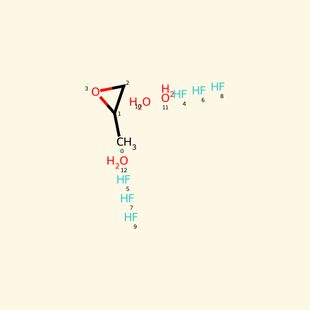 CC1CO1.F.F.F.F.F.F.O.O.O